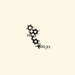 CCOC(=O)C(C)(C)Oc1ccc(CC(=O)NC(C)c2ccccc2N2CCCCC2)cc1